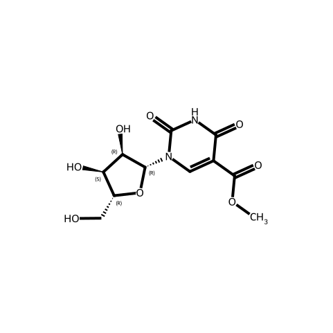 COC(=O)c1cn([C@@H]2O[C@H](CO)[C@@H](O)[C@H]2O)c(=O)[nH]c1=O